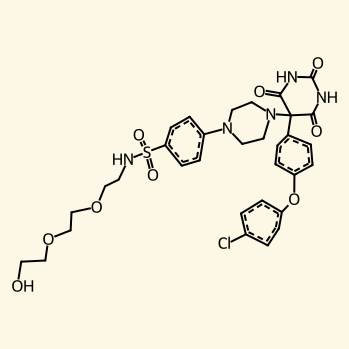 O=C1NC(=O)C(c2ccc(Oc3ccc(Cl)cc3)cc2)(N2CCN(c3ccc(S(=O)(=O)NCCOCCOCCO)cc3)CC2)C(=O)N1